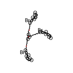 O=C(Oc1ccc2ccc(=O)oc2c1)c1ccc(OCCCCCCCCCCOCC(COCCCCCCCCCCOc2ccc(C(=O)Oc3ccc4ccc(=O)oc4c3)cc2Br)OCCCCCCCCCCOc2ccc(C(=O)Oc3ccc4ccc(=O)oc4c3)cc2Br)c(Br)c1